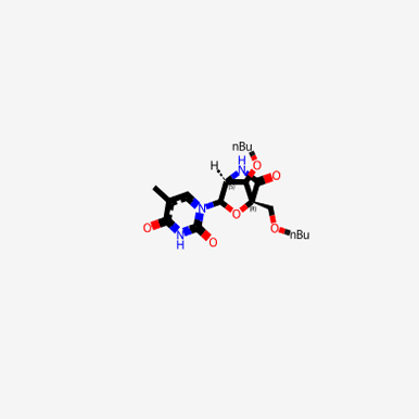 CCCCOC[C@]12OC(n3cc(C)c(=O)[nH]c3=O)[C@@H](NC1=O)C2OCCCC